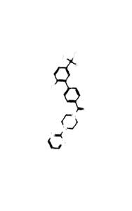 O=C(c1ccc(-c2cc(C(F)(F)F)ccc2F)cc1)N1CCN(c2ncccn2)CC1